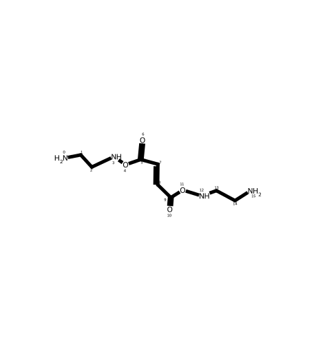 NCCNOC(=O)/C=C/C(=O)ONCCN